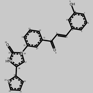 O=C(C=Cc1cccc(O)c1)c1cccc(-n2cc(-c3cccs3)[nH]c2=O)c1